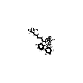 CCCCCCCCCCCCCCCCCCS(OS(C)(=O)=O)(c1ccccc1)c1ccccc1